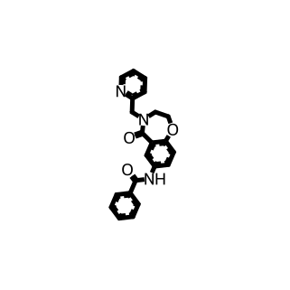 O=C(Nc1ccc2c(c1)C(=O)N(Cc1ccccn1)CCO2)c1ccccc1